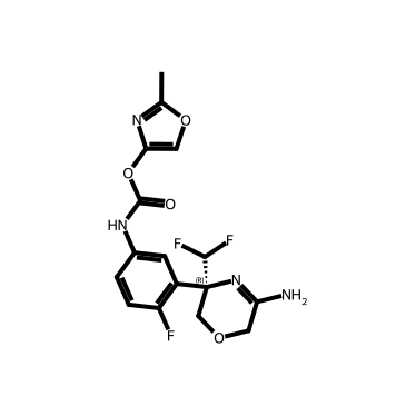 Cc1nc(OC(=O)Nc2ccc(F)c([C@]3(C(F)F)COCC(N)=N3)c2)co1